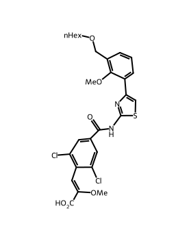 CCCCCCOCc1cccc(-c2csc(NC(=O)c3cc(Cl)c(/C=C(\OC)C(=O)O)c(Cl)c3)n2)c1OC